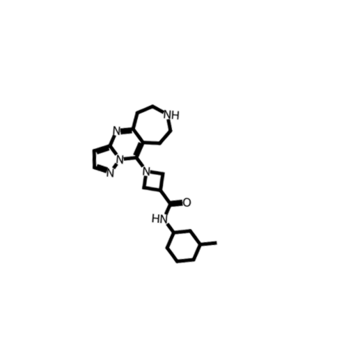 CC1CCCC(NC(=O)C2CN(c3c4c(nc5ccnn35)CCNCC4)C2)C1